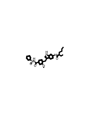 CCCCC(CC)C(=O)Nc1ccc2c(Cc3ccc(C(=O)N[S+]([O-])c4ccccc4)cc3OC)c[nH]c2c1